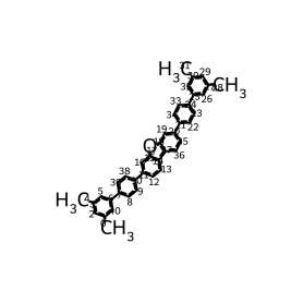 Cc1cc(C)cc(-c2ccc(-c3ccc4c(c3)oc3cc(-c5ccc(-c6cc(C)cc(C)c6)cc5)ccc34)cc2)c1